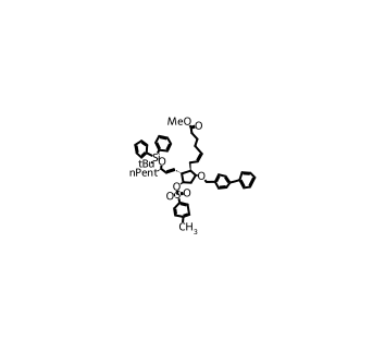 CCCCC[C@@H](/C=C/[C@@H]1[C@@H](C/C=C\CCCC(=O)OC)[C@@H](OCc2ccc(-c3ccccc3)cc2)C[C@H]1OS(=O)(=O)c1ccc(C)cc1)O[Si](c1ccccc1)(c1ccccc1)C(C)(C)C